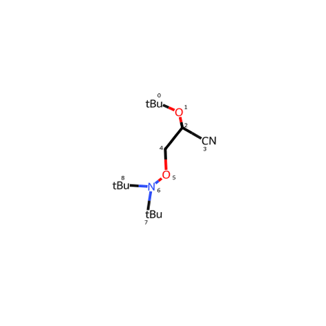 CC(C)(C)OC(C#N)CON(C(C)(C)C)C(C)(C)C